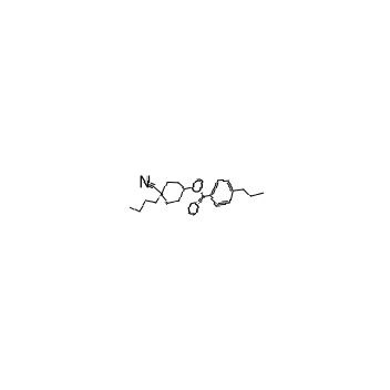 CCCCC1(C#N)CCC(OC(=O)c2ccc(CCC)cc2)CC1